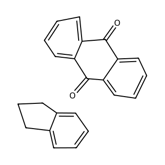 O=C1c2ccccc2C(=O)c2ccccc21.c1ccc2c(c1)CCC2